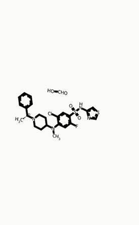 C[C@H](c1ccccc1)N1CCC(N(C)c2cc(F)c(S(=O)(=O)Nc3cscn3)cc2Cl)CC1.O=CO